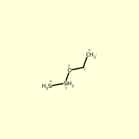 [CH2]CO[SiH2][SiH3]